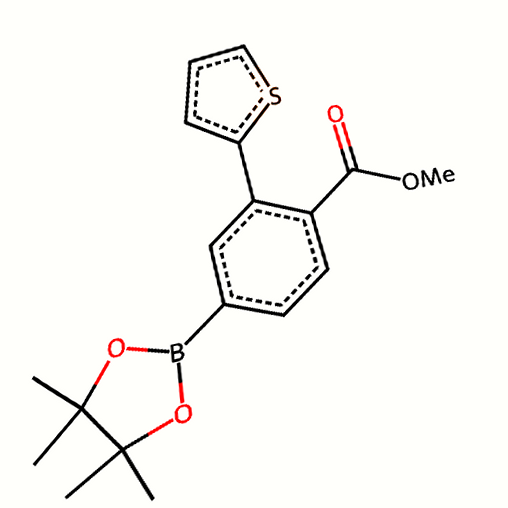 COC(=O)c1ccc(B2OC(C)(C)C(C)(C)O2)cc1-c1cccs1